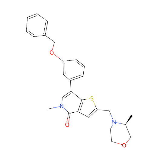 C[C@H]1COCCN1Cc1cc2c(=O)n(C)cc(-c3cccc(OCc4ccccc4)c3)c2s1